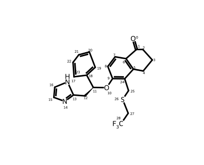 O=C1CCCc2c1ccc(O[C@@H](Cc1ncc[nH]1)c1ccccc1)c2CSCC(F)(F)F